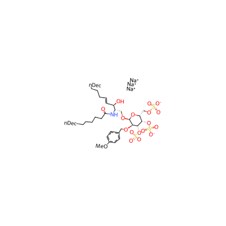 CCCCCCCCCCCCC/C=C/[C@@H](O)[C@H](CO[C@H]1O[C@H](COS(=O)(=O)[O-])[C@H](OS(=O)(=O)[O-])[C@H](OS(=O)(=O)[O-])[C@H]1OCc1ccc(OC)cc1)NC(=O)CCCCCCCCCCCCCCC.[Na+].[Na+].[Na+]